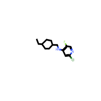 CCC1CCC(CNc2cc(Cl)ncc2F)CC1